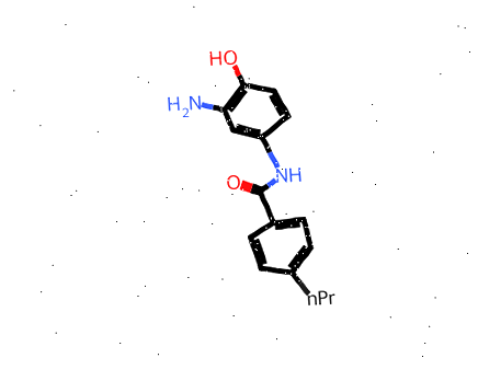 CCCc1ccc(C(=O)Nc2ccc(O)c(N)c2)cc1